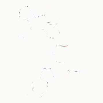 NCC1CCCN1C(=O)c1ccc(C(=O)NC(CC(N)=O)c2nc3cc(Cl)ccc3[nH]2)cc1Cl